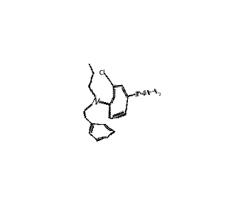 CCCN(Cc1ccccc1)c1ccc(N)cc1Cl